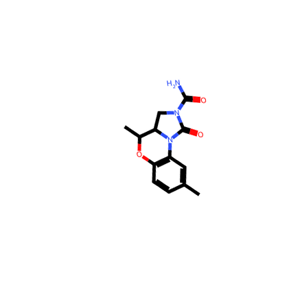 Cc1ccc2c(c1)N1C(=O)N(C(N)=O)CC1C(C)O2